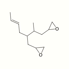 CC=CCC(CC1CO1)C(C)CC1CO1